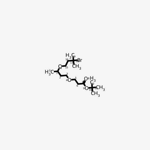 CC(CCOCCC(=O)OC(C)(C)C)OCCC(C)(C)Br